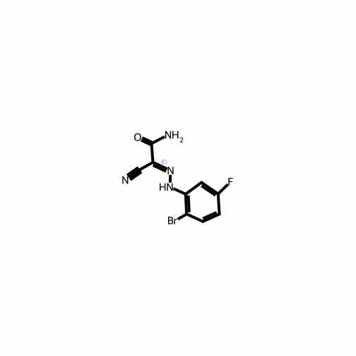 N#C/C(=N\Nc1cc(F)ccc1Br)C(N)=O